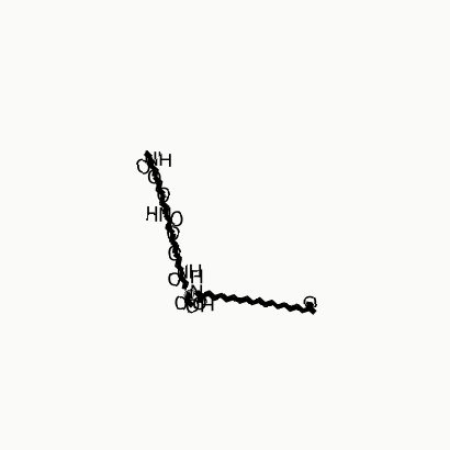 CNC(=O)COCCOCCNC(=O)COCCOCCNC(=O)CC[C@H](NC(=O)CCCCCCCCCCCCCCCCC(C)=O)C(=O)O